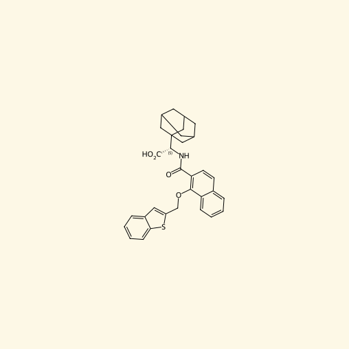 O=C(N[C@H](C(=O)O)C12CC3CC(CC(C3)C1)C2)c1ccc2ccccc2c1OCc1cc2ccccc2s1